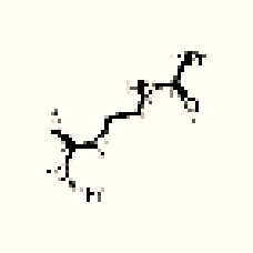 CCCOC(=O)OCCNC(=O)C(C)C